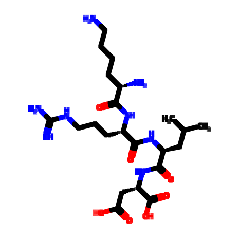 CC(C)C[C@H](NC(=O)[C@H](CCCNC(=N)N)NC(=O)[C@@H](N)CCCCN)C(=O)N[C@@H](CC(=O)O)C(=O)O